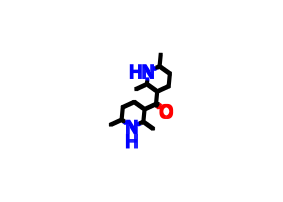 CC1CCC(C(=O)C2CCC(C)NC2C)C(C)N1